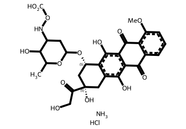 COc1cccc2c1C(=O)c1c(O)c3c(c(O)c1C2=O)C[C@@](O)(C(=O)CO)C[C@@H]3OC1CC(NOC(=O)O)C(O)C(C)O1.Cl.N